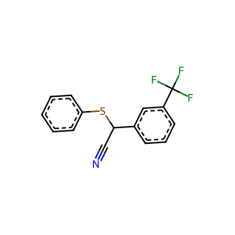 N#CC(Sc1ccccc1)c1cccc(C(F)(F)F)c1